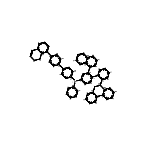 C1=Cc2cccc(-c3ccc(-c4ccc(N(c5ccccc5)c5ccc(-c6ccccc6C6Cc7ccccc7-c7ccccc76)c(-c6cccc7ccccc67)c5)cc4)cc3)c2CC1